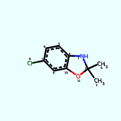 CC1(C)Nc2ccc(Cl)cc2O1